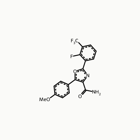 COc1ccc(-c2oc(-c3cccc(C(F)(F)F)c3F)nc2C(N)=O)cc1